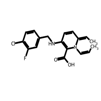 C/C=C\N1C(C(=O)O)=C(NCc2ccc(Cl)c(F)c2)C=C/C1=C/C